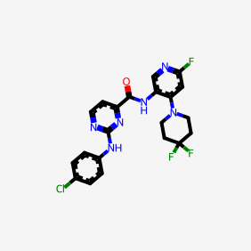 O=C(Nc1cnc(F)cc1N1CCC(F)(F)CC1)c1ccnc(Nc2ccc(Cl)cc2)n1